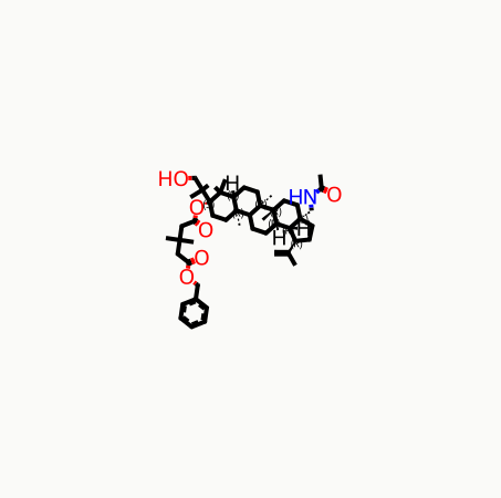 C=C(C)[C@@H]1CC[C@]2(CNC(C)=O)CC[C@]3(C)[C@H](CCC4[C@@]5(C)CC[C@@](OC(=O)CC(C)(C)CC(=O)OCc6ccccc6)(C(C)(C)CO)C(C)(C)[C@@H]5CC[C@]43C)[C@@H]12